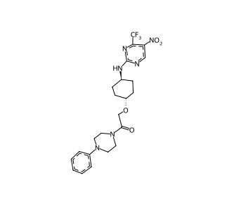 O=C(CO[C@H]1CC[C@H](Nc2ncc([N+](=O)[O-])c(C(F)(F)F)n2)CC1)N1CCN(c2ccccc2)CC1